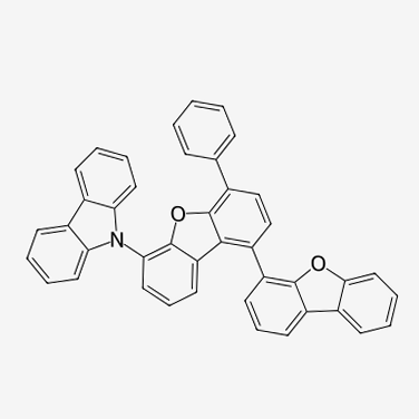 c1ccc(-c2ccc(-c3cccc4c3oc3ccccc34)c3c2oc2c(-n4c5ccccc5c5ccccc54)cccc23)cc1